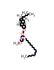 CCCCC/C=C\C/C=C\CCCCCCCCCCOCC(CN1CCC(OC)C1)OCCO[C@H]1CC[C@@]2(C)C(=CC[C@H]3[C@@H]4CC[C@H]([C@H](C)CCCC(C)C)[C@@]4(C)CC[C@@H]32)C1